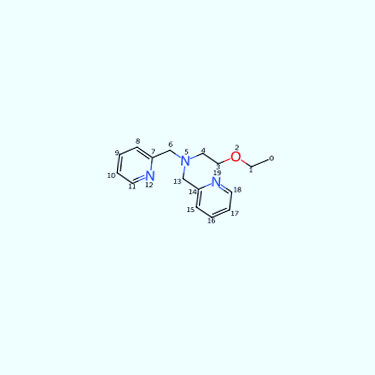 CCOCCN(Cc1ccccn1)Cc1ccccn1